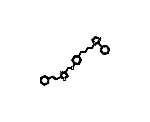 C(=Cc1nc(COc2ccc(CCCCn3ccnc3-c3ccccc3)cc2)co1)c1ccccc1